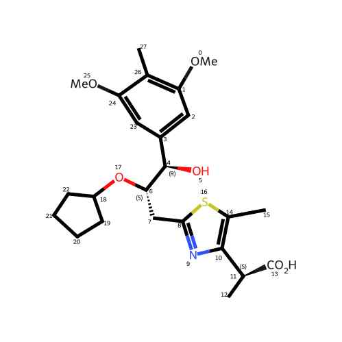 COc1cc([C@@H](O)[C@H](Cc2nc([C@H](C)C(=O)O)c(C)s2)OC2CCCC2)cc(OC)c1C